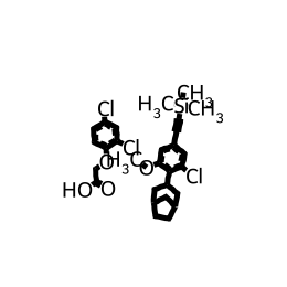 COc1cc(C#C[Si](C)(C)C)cc(Cl)c1C1CC2CCC(C2)C1.O=C(O)COc1ccc(Cl)cc1Cl